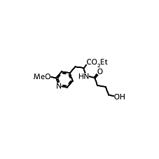 CCOC(=O)C(Cc1ccnc(OC)c1)NC(=O)CCCO